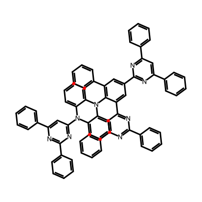 c1ccc(-c2cc(-c3ccccc3)nc(-c3cc(-c4ccccc4)c(N4c5ccccc5N(c5cc(-c6ccccc6)nc(-c6ccccc6)n5)c5ccccc54)c(-c4cc(-c5ccccc5)nc(-c5ccccc5)n4)c3)n2)cc1